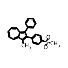 Cc1c2cccccc-2c(-c2ccccc2)c1-c1ccc(S(C)(=O)=O)cc1